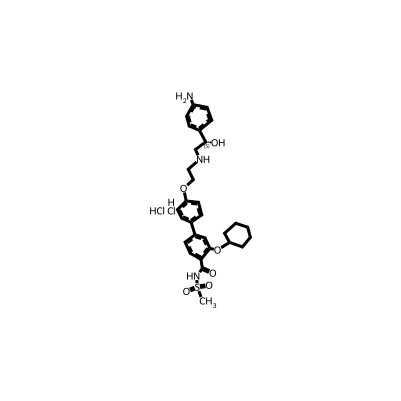 CS(=O)(=O)NC(=O)c1ccc(-c2ccc(OCCNC[C@@H](O)c3ccc(N)cc3)cc2)cc1OC1CCCCC1.Cl.Cl